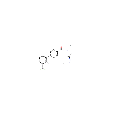 CO/N=C1/C[C@@H](CO)N(C(=O)c2ccc(-c3cccc(C(F)F)c3C)cc2)C1